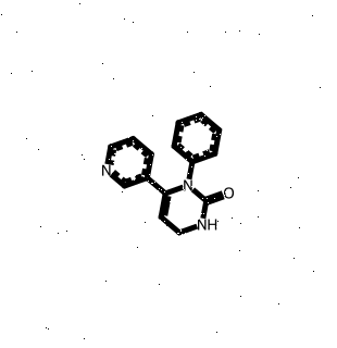 O=C1NCC=C(c2cccnc2)N1c1ccccc1